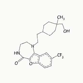 CC1(CO)CCC(CCN2CCNC(=O)c3oc4ccc(C(F)(F)F)cc4c32)CC1